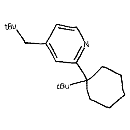 CC(C)(C)Cc1ccnc(C2(C(C)(C)C)CCCCC2)c1